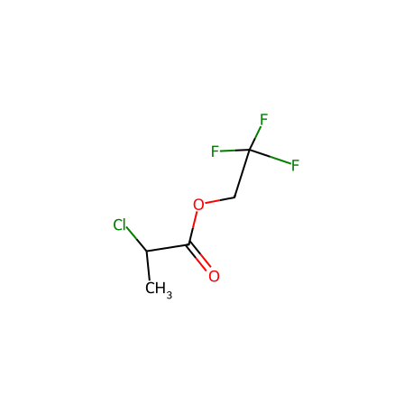 CC(Cl)C(=O)OCC(F)(F)F